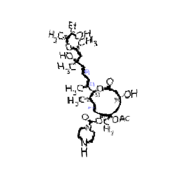 CC[C@H](O)[C@@H](C)O[C@@H](C)C[C@@](C)(O)/C=C/C=C(\C)[C@H]1OC(=O)C[C@H](O)CC[C@@](C)(OC(C)=O)[C@@H](OC(=O)N2CCNCC2)/C=C/[C@@H]1C